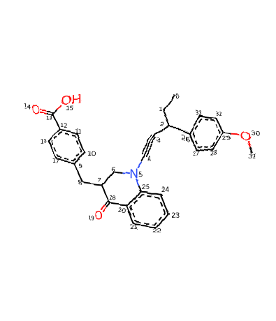 CCC(C#CN1CC(Cc2ccc(C(=O)O)cc2)C(=O)c2ccccc21)c1ccc(OC)cc1